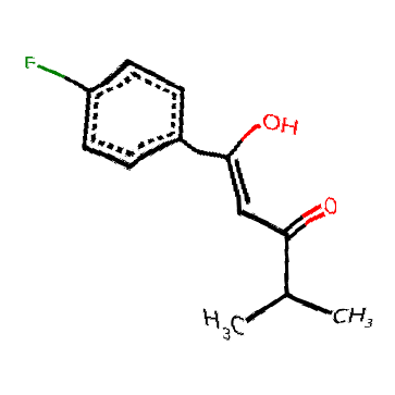 CC(C)C(=O)C=C(O)c1ccc(F)cc1